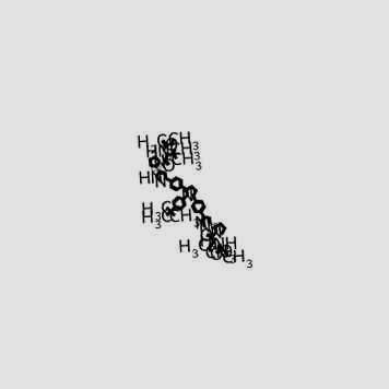 C=C(N[C@H](C(=O)N1CCC[C@H]1c1cc(-c2ccc(C3CCC(c4ccc(-c5cc([C@@H]6CCCN6C(=O)[C@@H](NC(=O)OC)C(C)C)[nH]n5)cc4)N3c3ccc(C(C)(C)C)cc3)cc2)n[nH]1)C(C)C)OC